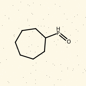 O=[PH]C1CCCCCC1